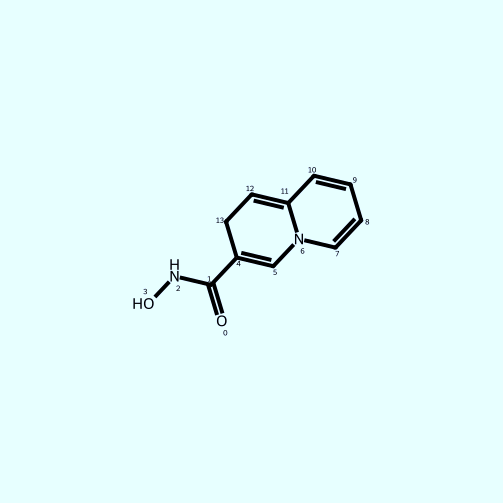 O=C(NO)C1=CN2C=CC=CC2=CC1